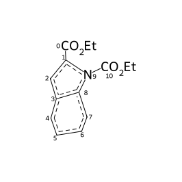 CCOC(=O)c1cc2ccccc2n1C(=O)OCC